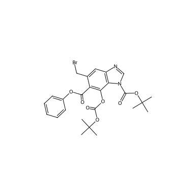 CC(C)(C)OC(=O)Oc1c(C(=O)Oc2ccccc2)c(CBr)cc2ncn(C(=O)OC(C)(C)C)c12